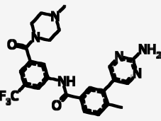 Cc1ccc(C(=O)Nc2cc(C(=O)N3CCN(C)CC3)cc(C(F)(F)F)c2)cc1-c1cnc(N)nc1